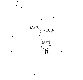 CNC(Cc1c[nH]cn1)C(=O)O